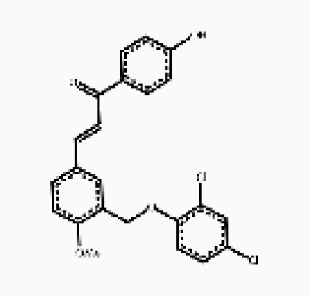 COc1ccc(/C=C/C(=O)c2ccc(O)cc2)cc1COc1ccc(Cl)cc1Cl